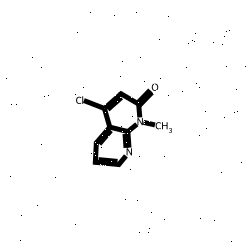 Cn1c(=O)cc(Cl)c2cccnc21